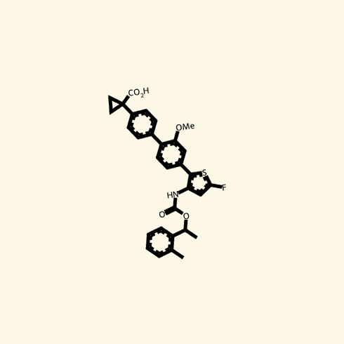 COc1cc(-c2sc(F)cc2NC(=O)OC(C)c2ccccc2C)ccc1-c1ccc(C2(C(=O)O)CC2)cc1